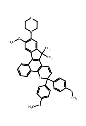 COc1ccc(C2(c3ccc(OC)cc3)C=Cc3c4c(c5ccccc5c3O2)-c2cc(OC)c(N3CCOCC3)cc2C4(C)C)cc1